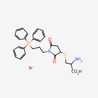 NC(CSC1CC(=O)N(CCC[P+](c2ccccc2)(c2ccccc2)c2ccccc2)C1=O)C(=O)O.[Br-]